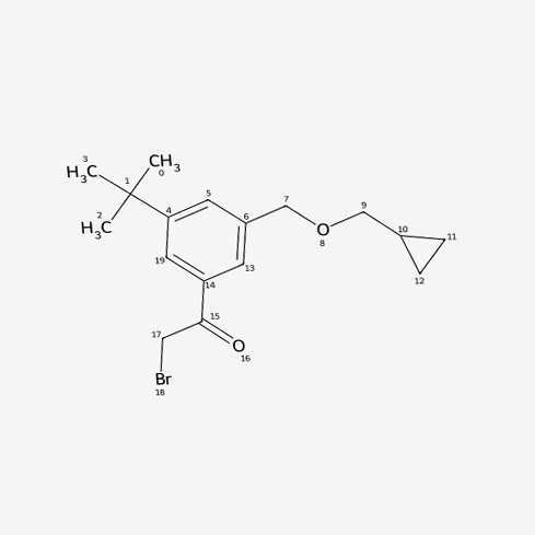 CC(C)(C)c1cc(COCC2CC2)cc(C(=O)CBr)c1